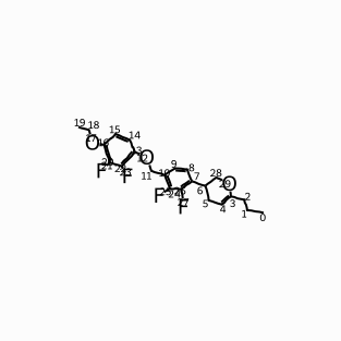 CCCC1=CCC(c2ccc(COc3ccc(OCC)c(F)c3F)c(F)c2F)CO1